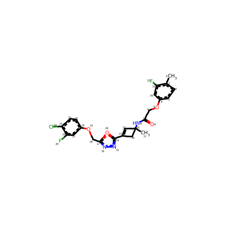 Cc1ccc(OCC(=O)NC2(C)C=C(c3nnc(COc4ccc(Cl)c(F)c4)o3)C2)cc1F